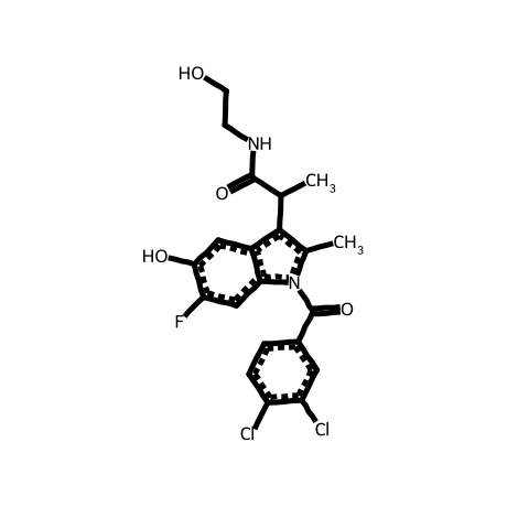 Cc1c(C(C)C(=O)NCCO)c2cc(O)c(F)cc2n1C(=O)c1ccc(Cl)c(Cl)c1